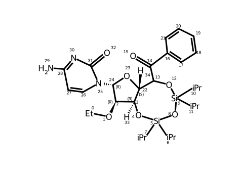 CCO[C@@H]1[C@@H]2O[Si](C(C)C)(C(C)C)O[Si](C(C)C)(C(C)C)OC(C(=O)c3ccccc3)[C@H]2O[C@H]1n1ccc(N)nc1=O